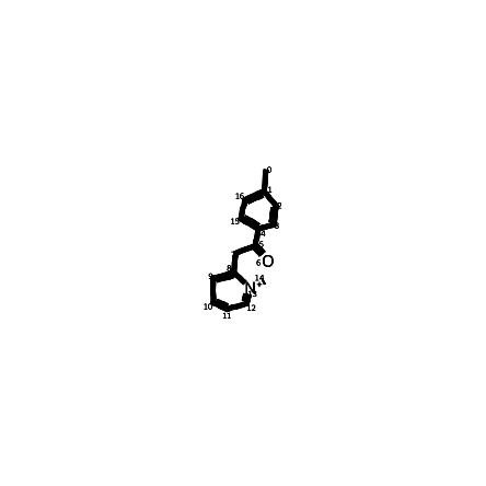 Cc1ccc(C(=O)Cc2cccc[n+]2C)cc1